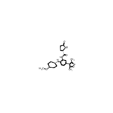 CO[C@H]1CC[C@H](Nc2ccc(-c3c(C)noc3C)cc2NC(=O)[C@@H]2CCC(=O)N2)CC1